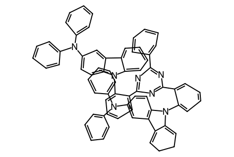 C1=c2c(n(-c3ccccc3-c3nc(-c4ccccc4)nc(-c4ccccc4-n4c5ccccc5c5cc(N(c6ccccc6)c6ccccc6)ccc54)n3)c3ccc(N(c4ccccc4)c4ccccc4)cc23)=CCC1